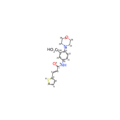 O=C(C=Cc1cccs1)Nc1ccc(N2CCOCC2)c(C(=O)O)c1